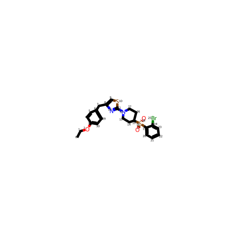 CCOc1ccc(Cc2csc(N3CCC(S(=O)(=O)c4ccccc4Br)CC3)n2)cc1